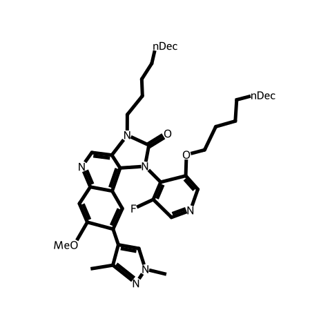 CCCCCCCCCCCCCCOc1cncc(F)c1-n1c(=O)n(CCCCCCCCCCCCCC)c2cnc3cc(OC)c(-c4cn(C)nc4C)cc3c21